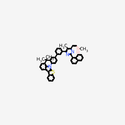 CB/C=C\c1nc(-c2cccc3ccccc23)nc(-c2cccc(-c3ccc4c(c3)C(C)(C)c3cccc5c6c7ccccc7sc6n-4c35)c2)c1C